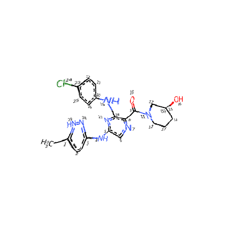 Cc1cc(Nc2cnc(C(=O)N3CCC[C@H](O)C3)c(Nc3ccc(Cl)cc3)n2)n[nH]1